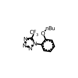 CCCCOc1ccccc1-n1nnnc1C(F)(F)F